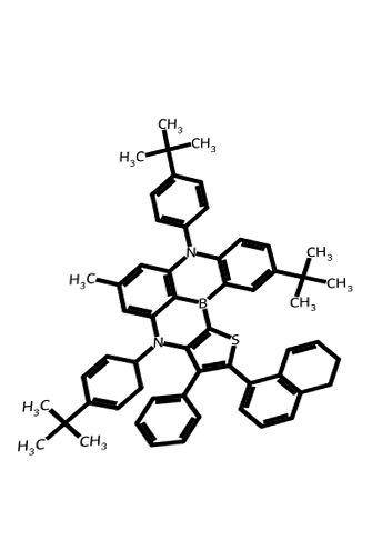 Cc1cc2c3c(c1)N(C1C=CC(C(C)(C)C)=CC1)c1c(sc(-c4cccc5c4C=CCC5)c1-c1ccccc1)B3c1cc(C(C)(C)C)ccc1N2c1ccc(C(C)(C)C)cc1